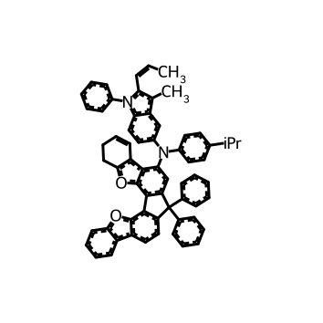 C/C=C\c1c(C)c2cc(N(c3ccc(C(C)C)cc3)c3cc4c(c5oc6c(c35)C=CCC6)-c3c(ccc5c3oc3ccccc35)C4(c3ccccc3)c3ccccc3)ccc2n1-c1ccccc1